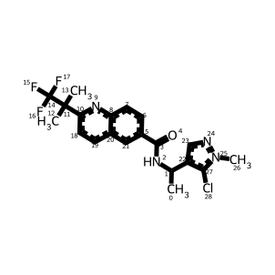 CC(NC(=O)c1ccc2nc(C(C)(C)C(F)(F)F)ccc2c1)c1cnn(C)c1Cl